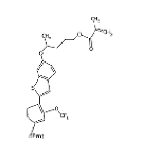 C=C(C)C(=O)OCCCC(C)Oc1ccc2cc(-c3ccc(CCCCC)cc3OC(F)(F)F)sc2c1